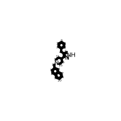 c1ccc(Cc2c[nH]nc2C2CCN(Cc3ccc4ccccc4c3)CC2)cc1